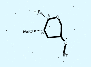 B[C@@H]1OCC(OC(C)C)C[C@@H]1OC